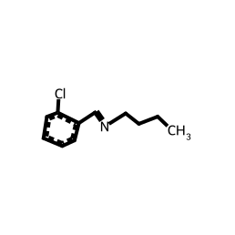 CCCC/N=C/c1ccccc1Cl